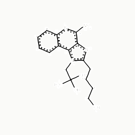 CC(C)(O)Cn1c(CCCCO)nc2c(N)nc3ccccc3c21